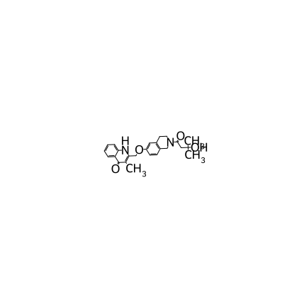 Cc1c(COc2ccc3c(c2)CCN(C(=O)CC(C)(C)O)C3)[nH]c2ccccc2c1=O